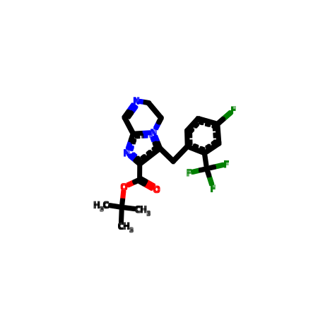 CC(C)(C)OC(=O)c1nc2n(c1Cc1ccc(F)cc1C(F)(F)F)CCN=C2